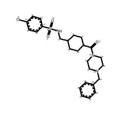 O=C(C1CCC(CNS(=O)(=O)c2ccc(Cl)cc2)CC1)N1CCN(Cc2ccccc2)CC1